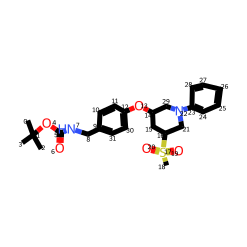 CC(C)(C)OC(=O)NCc1ccc(OC2CC(S(C)(=O)=O)CN(c3ccccc3)C2)cc1